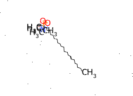 CCCCCCCC=CCCCCCCCCCCCCCCC(CC)(P(=O)=O)[N+](C)(C)C